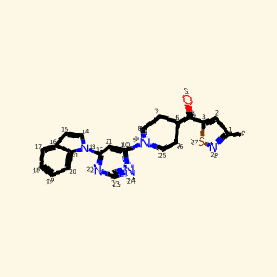 Cc1cc(C(=O)C2CCN(c3cc(-n4ccc5ccccc54)ncn3)CC2)sn1